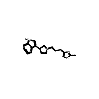 Cc1nc(CCCN2CCC(c3c[nH]c4ccccc34)C2)co1